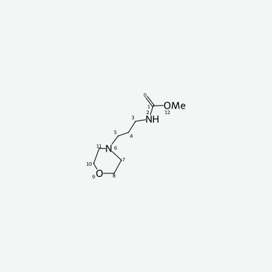 C=C(NCCCN1CCOCC1)OC